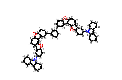 c1cc(-c2ccc3oc4ccc5c6cc(-n7c8ccccc8c8ccccc87)ccc6oc5c4c3c2)cc(-c2ccc3oc4ccc5c6cc(-n7c8ccccc8c8ccccc87)ccc6oc5c4c3c2)c1